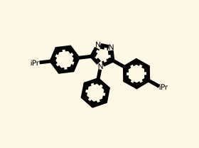 CC(C)c1ccc(-c2nnc(-c3ccc(C(C)C)cc3)n2-c2ccccc2)cc1